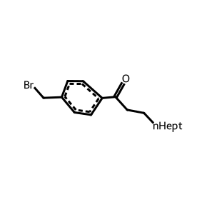 CCCCCCCCCC(=O)c1ccc(CBr)cc1